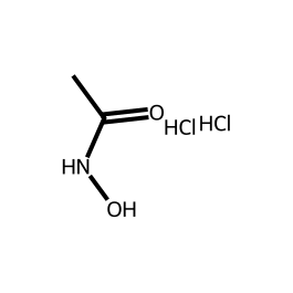 CC(=O)NO.Cl.Cl